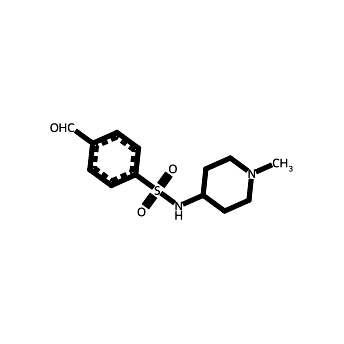 CN1CCC(NS(=O)(=O)c2ccc(C=O)cc2)CC1